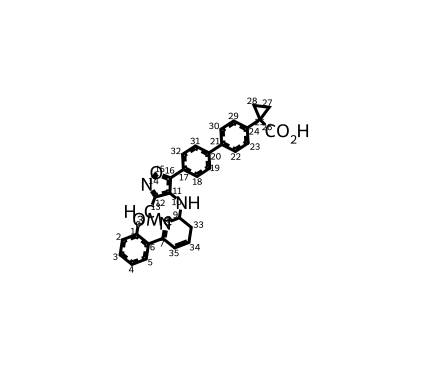 COc1ccccc1C1=NC(Nc2c(C)noc2-c2ccc(-c3ccc(C4(C(=O)O)CC4)cc3)cc2)CC=C1